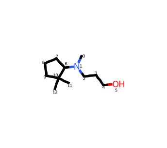 CN(CCCO)C1CCCC1(C)C